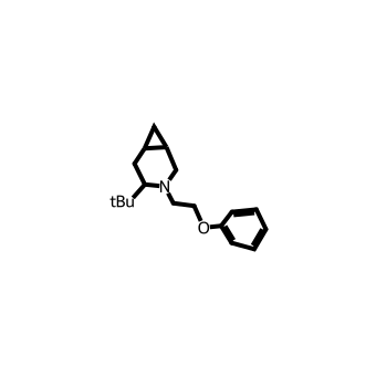 CC(C)(C)C1CC2CC2CN1CCOc1ccccc1